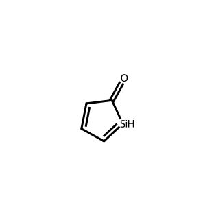 O=C1C=CC=[SiH]1